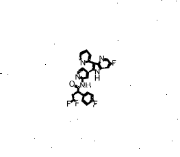 O=C(Nc1cc(-c2[nH]c3cc(F)cnc3c2-c2ccccn2)ccn1)C(CC(F)F)c1ccc(F)cc1